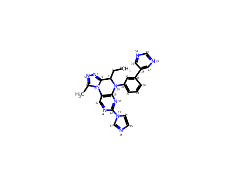 CCC1c2nnc(C)n2-c2cnc(-n3ccnc3)nc2N1c1cccc(-c2cncnc2)c1